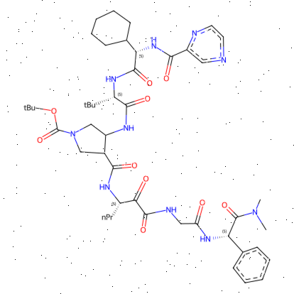 CCC[C@H](NC(=O)C1CN(C(=O)OC(C)(C)C)CC1NC(=O)[C@@H](NC(=O)[C@@H](NC(=O)c1cnccn1)C1CCCCC1)C(C)(C)C)C(=O)C(=O)NCC(=O)N[C@H](C(=O)N(C)C)c1ccccc1